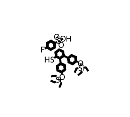 CC[Si](CC)(CC)Oc1ccc(-c2cccc(S)c2-c2ccc(O[Si](CC)(CC)CC)cc2)cc1.O=S(=O)(O)c1ccc(F)cc1